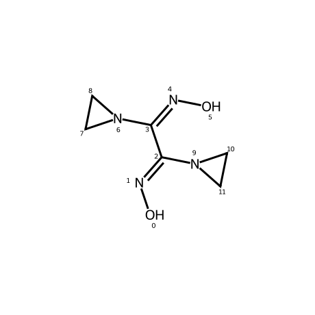 ON=C(C(=NO)N1CC1)N1CC1